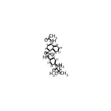 CC(=O)Nc1ccc(S(=O)(=O)Nc2ccc(NC(=O)C(C)(C)C)cc2)c2ccccc12